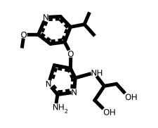 COc1cc(Oc2cnc(N)nc2NC(CO)CO)c(C(C)C)cn1